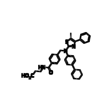 Cc1sc(N(Cc2ccc(C(=O)NCCC(=O)O)cc2)c2ccc(C3=CCCCC3)cc2)nc1-c1ccccc1